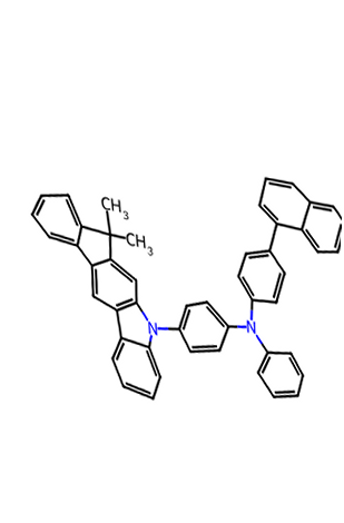 CC1(C)c2ccccc2-c2cc3c4ccccc4n(-c4ccc(N(c5ccccc5)c5ccc(-c6cccc7ccccc67)cc5)cc4)c3cc21